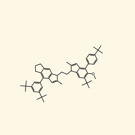 COc1c(C(C)(C)C)cc2c(c1-c1ccc(C(C)(C)C)cc1)C=C(C)C2CCC1C(C)=Cc2c1cc1c(c2-c2cc(C(C)(C)C)cc(C(C)(C)C)c2)CCC1